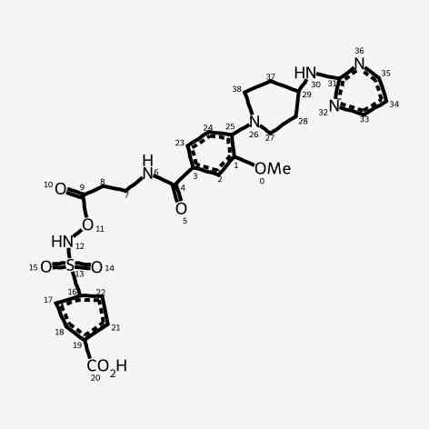 COc1cc(C(=O)NCCC(=O)ONS(=O)(=O)c2ccc(C(=O)O)cc2)ccc1N1CCC(Nc2ncccn2)CC1